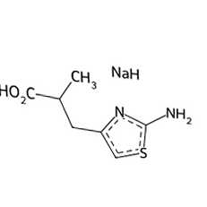 CC(Cc1csc(N)n1)C(=O)O.[NaH]